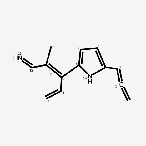 C=C=Cc1ccc(/C(C=C)=C(\C)C=N)[nH]1